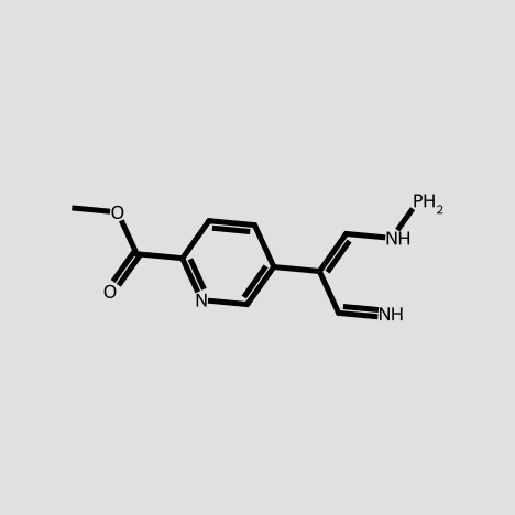 COC(=O)c1ccc(/C(C=N)=C/NP)cn1